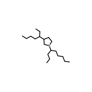 CCCCCC(CCC)N1CCC(C(CC)CCCC)C1